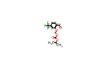 CC(C)OC(=O)OCOc1cc(C(F)(F)F)ccc1C=O